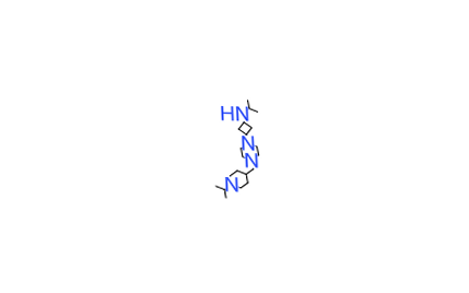 CC(C)N[C@H]1C[C@H](N2CCN(CC3CCN(C(C)C)CC3)CC2)C1